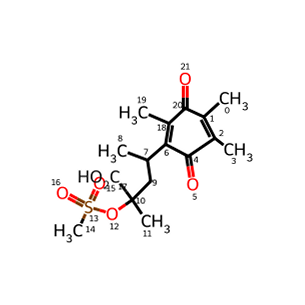 CC1=C(C)C(=O)C(C(C)CC(C)(OS(C)(=O)=O)C(=O)O)=C(C)C1=O